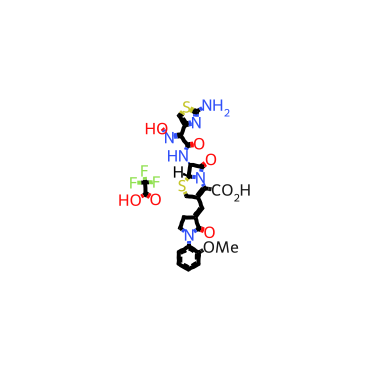 COc1ccccc1N1CCC(=CC2=C(C(=O)O)N3C(=O)[C@@H](NC(=O)C(=NO)c4csc(N)n4)[C@H]3SC2)C1=O.O=C(O)C(F)(F)F